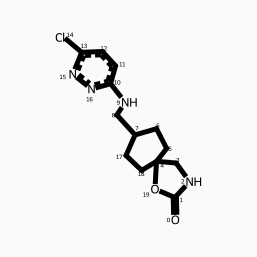 O=C1NCC2(CCC(CNc3ccc(Cl)nn3)CC2)O1